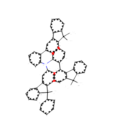 CC1(C)c2ccccc2-c2cc(-c3ccccc3N(c3ccc4c(c3)-c3ccccc3C4(C)c3ccccc3)c3ccccc3-c3cccc4c3-c3ccccc3C4(C)C)ccc21